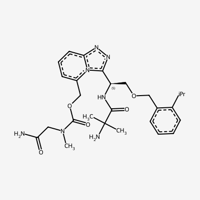 CC(C)c1ccccc1COC[C@@H](NC(=O)C(C)(C)N)c1nnc2cccc(COC(=O)N(C)CC(N)=O)n12